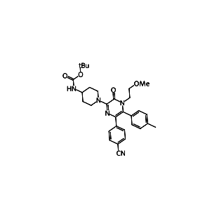 COCCn1c(-c2ccc(C)cc2)c(-c2ccc(C#N)cc2)nc(N2CCC(NC(=O)OC(C)(C)C)CC2)c1=O